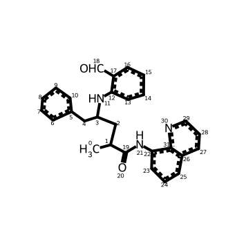 CC(CC(Cc1ccccc1)Nc1ccccc1C=O)C(=O)Nc1cccc2cccnc12